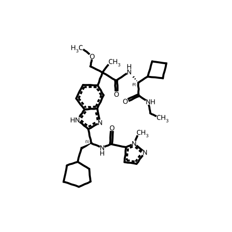 CCNC(=O)[C@H](NC(=O)C(C)(COC)c1ccc2[nH]c([C@H](CC3CCCCC3)NC(=O)c3ccnn3C)nc2c1)C1CCC1